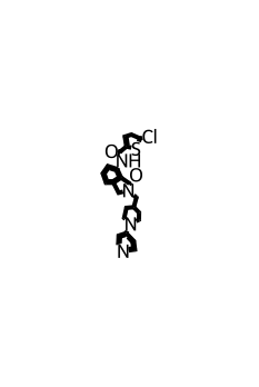 O=C(Nc1cccc2c1C(=O)N(CC1CCN(c3ccncc3)CC1)C2)C1=CCC(Cl)S1